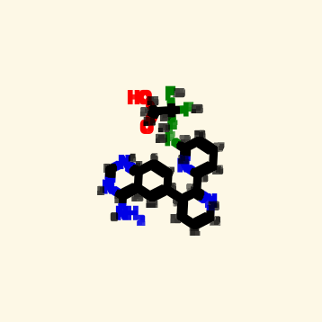 Nc1ncnc2ccc(-c3cccnc3-c3cccc(F)n3)cc12.O=C(O)C(F)(F)F